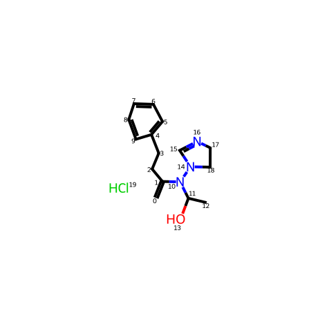 C=C(CCc1ccccc1)N(C(C)O)N1C=NCC1.Cl